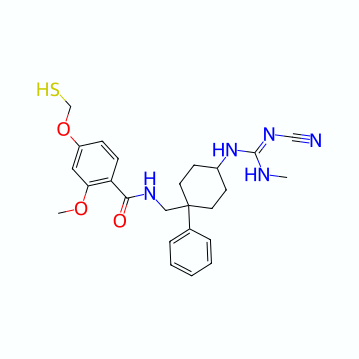 CN/C(=N\C#N)NC1CCC(CNC(=O)c2ccc(OCS)cc2OC)(c2ccccc2)CC1